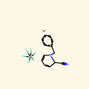 N#CC1C=CC=CN1Cc1ccccc1.[F][Sb-]([F])([F])([F])([F])[F].[H+]